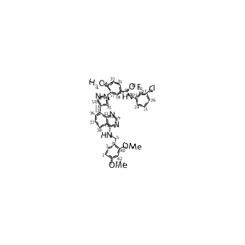 COc1ccc(CNc2ncnc3c(-c4cnn(-c5cc(C(=O)Nc6cccc(Cl)c6F)ccc5C)c4)cccc23)c(OC)c1